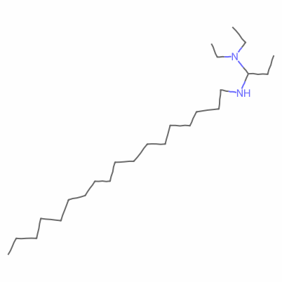 CCCCCCCCCCCCCCCCCCNC(CC)N(CC)CC